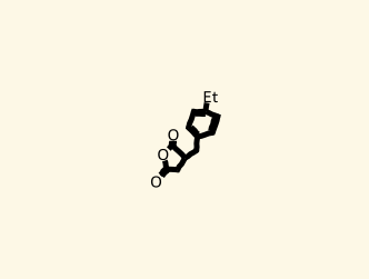 CCc1ccc(CC2CC(=O)OC2=O)cc1